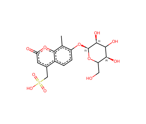 Cc1c(O[C@@H]2OC(CO)[C@H](O)C(O)[C@@H]2O)ccc2c(CS(=O)(=O)O)cc(=O)oc12